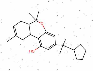 CC1=CCC2C(C1)c1c(O)cc(C(C)(C)C3CCCC3)cc1OC2(C)C